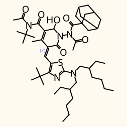 CCCCC(CC)CN(CC(CC)CCCC)c1nc(C(C)(C)C)c(/C=C2\C(=O)N(N(C(C)=O)C(=O)C34CC5CC(CC(C5)C3)C4)C(O)C(C(=O)N(C(C)=O)C(C)(C)C)=C2C)s1